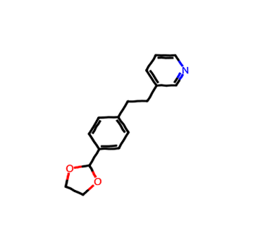 c1cncc(CCc2ccc(C3OCCO3)cc2)c1